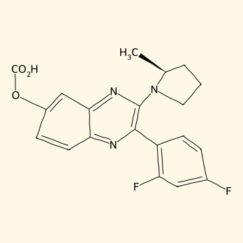 C[C@H]1CCCN1c1nc2cc(OC(=O)O)ccc2nc1-c1ccc(F)cc1F